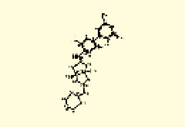 Fc1cc(F)c(F)c(-c2cc(C(F)(F)F)c(N[C@@H]3C[C@@H]4CN(CC5CCOCC5)C[C@@H]4C3)nn2)c1